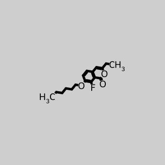 CCCCCCOc1ccc2cc(CC)oc(=O)c2c1F